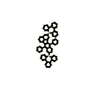 c1ccc(-c2c3c(c(-c4ccccc4)c4cc(N5c6ccccc6-c6ccccc6-c6ccccc65)ccc24)-c2cccc4cc(N5c6ccccc6-c6ccccc6-c6ccccc65)cc-3c24)cc1